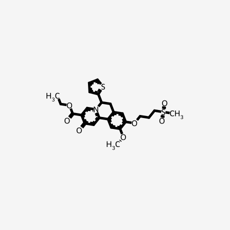 CCOC(=O)c1cn2c(cc1=O)-c1cc(OC)c(OCCCS(C)(=O)=O)cc1CC2c1cccs1